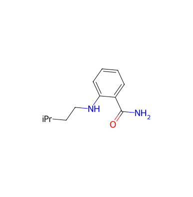 CC(C)CCNc1ccccc1C(N)=O